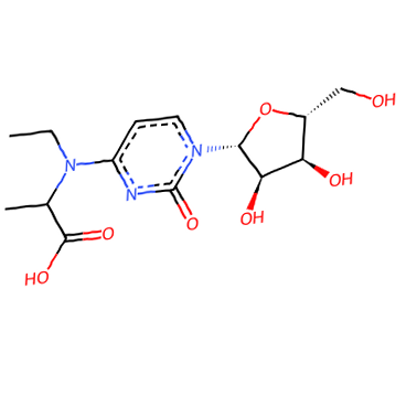 CCN(c1ccn([C@@H]2O[C@H](CO)[C@@H](O)[C@H]2O)c(=O)n1)C(C)C(=O)O